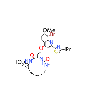 COc1ccc2c(OCCC3NC(=O)N(C)CCCCC=CC4CC4(C(=O)O)NC3=O)cc(-c3nc(C(C)C)cs3)nc2c1Br